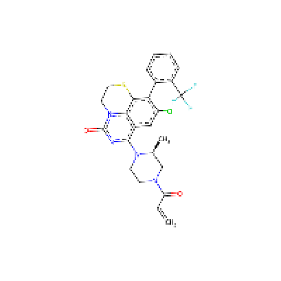 C=CC(=O)N1CCN(c2nc(=O)n3c4c(c(-c5ccccc5C(F)(F)F)c(Cl)cc24)SCC3)[C@@H](C)C1